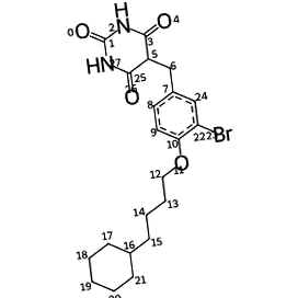 O=C1NC(=O)C(Cc2ccc(OCCCCC3CCCCC3)c(Br)c2)C(=O)N1